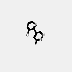 Cc1cc(-c2ncccc2Cl)cnn1